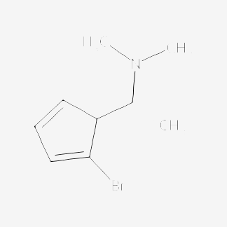 C[C@H](C1C=CC=C1Br)N(C)C